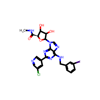 CNC(=O)[C@@H]1OC(n2cnc3c(NCc4cccc(I)c4)nc(-c4cncc(Cl)c4)nc32)C(O)C1O